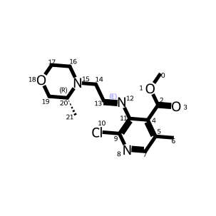 COC(=O)c1c(C)cnc(Cl)c1/N=C/CN1CCOC[C@H]1C